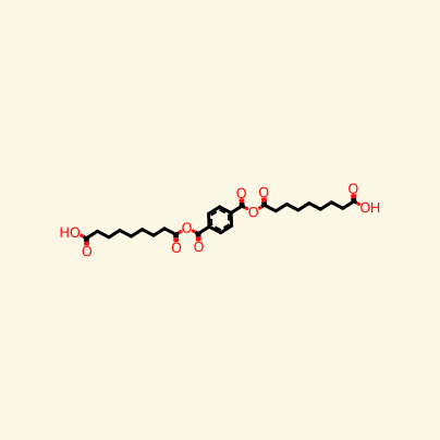 O=C(O)CCCCCCCC(=O)OC(=O)c1ccc(C(=O)OC(=O)CCCCCCCC(=O)O)cc1